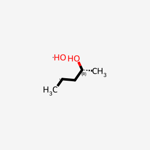 C[CH]C[C@@H](C)O.[OH]